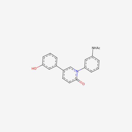 CC(=O)Nc1cccc(-n2cc(-c3cccc(O)c3)ccc2=O)c1